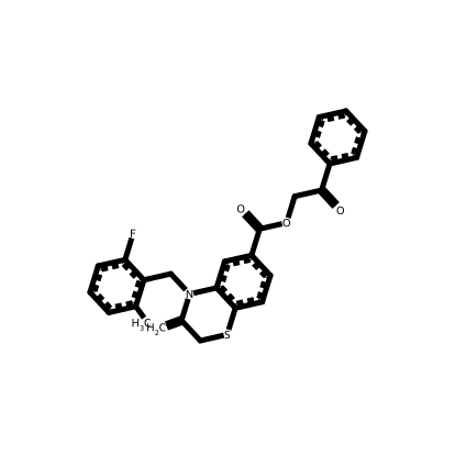 C=C1CSc2ccc(C(=O)OCC(=O)c3ccccc3)cc2N1Cc1c(C)cccc1F